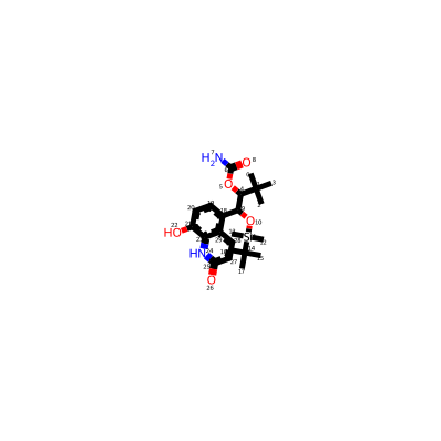 CC(C)(C)C(OC(N)=O)C(O[Si](C)(C)C(C)(C)C)c1ccc(O)c2[nH]c(=O)ccc12